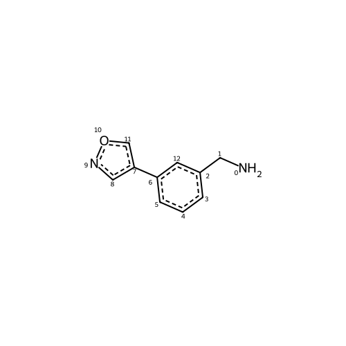 NCc1cccc(-c2cnoc2)c1